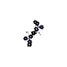 Cc1cc(-c2ccc(N(c3ccccc3)c3ccc4ccccc4c3)cc2)c(C)cc1-c1ccc(N(c2ccccc2)c2ccc3ccccc3c2)cc1